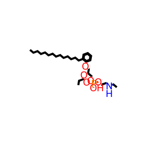 CCCCCCCCCCCCCCc1ccccc1OCC(COP(O)OCCNCC)OC(=O)CC